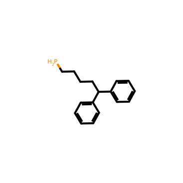 PCCCCC(c1ccccc1)c1ccccc1